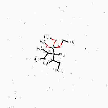 CCO[Si](OC)(OC)C(C)(C(C)CC)C(C)CC